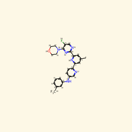 Cc1cc(-c2ccc(Nc3cccc(C(F)(F)F)c3)cn2)nc(-c2ncc(F)c(N3CCOCC3)n2)c1